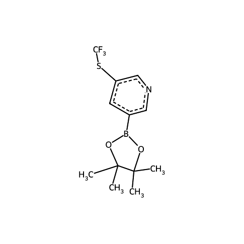 CC1(C)OB(c2cncc(SC(F)(F)F)c2)OC1(C)C